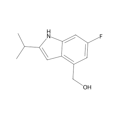 CC(C)c1cc2c(CO)cc(F)cc2[nH]1